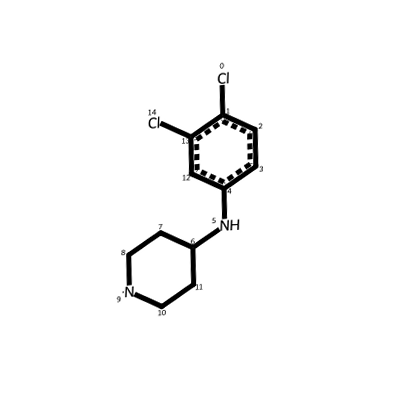 Clc1ccc(NC2CC[N]CC2)cc1Cl